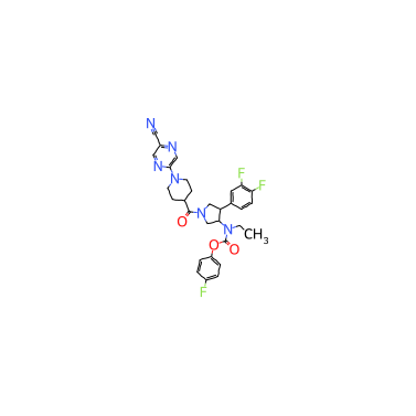 CCN(C(=O)Oc1ccc(F)cc1)C1CN(C(=O)C2CCN(c3cnc(C#N)cn3)CC2)CC1c1ccc(F)c(F)c1